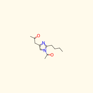 CCCCc1nc(CC(C)=O)cn1C(C)=O